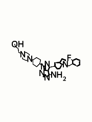 Nc1ncnc2c1c(-c1ccc3c(ccn3Cc3ccccc3F)c1)nn2C1CCC(N2CCN(CCCO)CC2)CC1